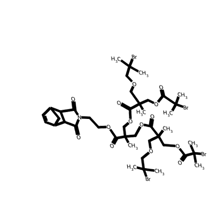 CC(C)(Br)COCC(C)(COC(=O)C(C)(C)Br)C(=O)OCC(C)(COC(=O)C(C)(COCC(C)(C)Br)COC(=O)C(C)(C)Br)C(=O)OCCN1C(=O)C2C3C=CC(C3)C2C1=O